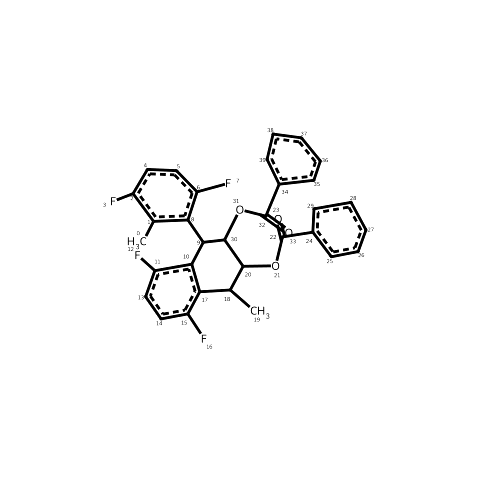 Cc1c(F)ccc(F)c1C1c2c(F)ccc(F)c2C(C)C(OC(=O)c2ccccc2)C1OC(=O)c1ccccc1